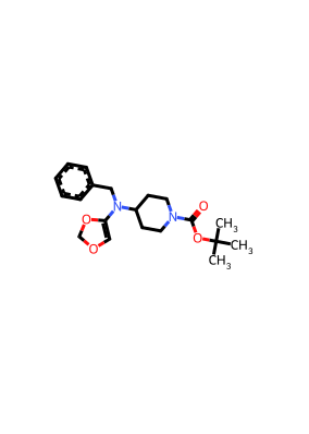 CC(C)(C)OC(=O)N1CCC(N(Cc2ccccc2)C2=COCO2)CC1